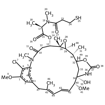 COc1cc2cc(c1Cl)N(C)C(=O)C[C@H](OC(=O)[C@@H](C)N(C)C(=O)CCS)[C@]1(C)O[C@H]1[C@H](C)[C@@H]1C[C@@](O)(NC(=O)O1)[C@H](OC)/C=C/C=C(\C)C2